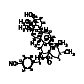 C[C@@H]1CC[C@]2(C(=O)NCc3ccc(C#N)cc3)CC[C@]3(C)C(=CC[C@@H]4[C@@]5(C)CC[C@H](O)C(C)(C)[C@@H]5CC[C@]43C)C2[C@H]1C